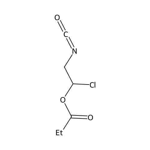 CCC(=O)OC(Cl)CN=C=O